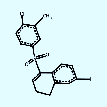 Cc1cc(S(=O)(=O)C2=CCCc3cc(I)ccc32)ccc1Cl